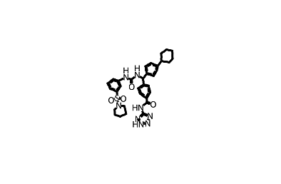 O=C(Nc1cccc(S(=O)(=O)N2CCCCC2)c1)NC(c1ccc(C(=O)Nc2nn[nH]n2)cc1)c1ccc(C2CCCCC2)cc1